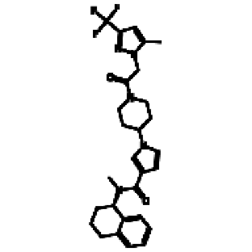 Cc1cc(C(F)(F)F)nn1CC(=O)N1CCC(n2ccc(C(=O)N(C)[C@@H]3CCCc4ccccc43)c2)CC1